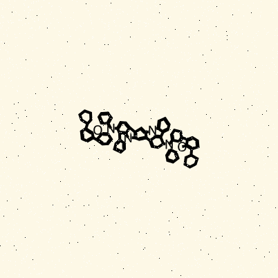 C1=C(N(c2ccccc2)C2CC=c3c4cc5c(cc4n4c3c2c2ccccc24)c2ccc(N(c3ccccc3)c3cccc4c3oc3c(C6CCCCC6)cccc34)c3c4ccccc4n5c23)c2oc3c(C4CCCCC4)cccc3c2CC1